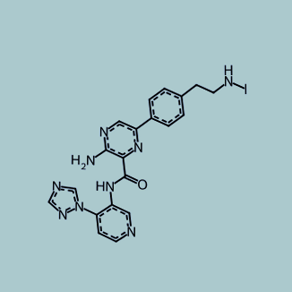 Nc1ncc(-c2ccc(CCNI)cc2)nc1C(=O)Nc1cnccc1-n1cncn1